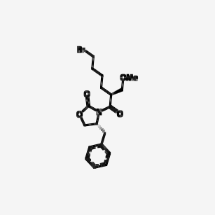 COC[C@H](CCCCBr)C(=O)N1C(=O)OC[C@H]1Cc1ccccc1